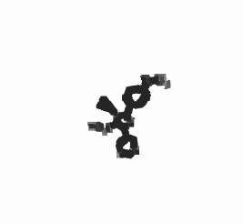 O=C(O)c1c(-c2cncnc2)nc(-c2ccc(OC(F)(F)F)cc2)n1C1CC1